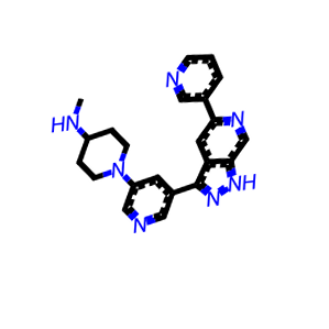 CNC1CCN(c2cncc(-c3n[nH]c4cnc(-c5cccnc5)cc34)c2)CC1